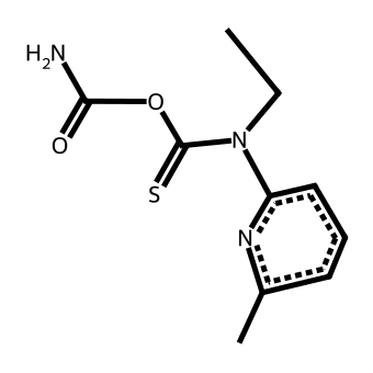 CCN(C(=S)OC(N)=O)c1cccc(C)n1